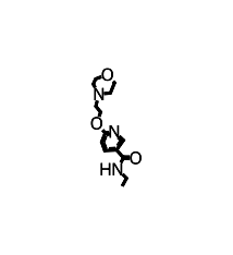 CCNC(=O)c1ccc(OCCN2CCOCC2)nc1